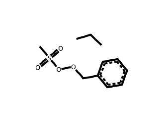 CCC.CS(=O)(=O)OOCc1ccccc1